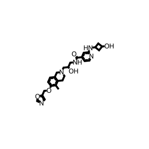 Cc1c(OCc2cnco2)ccc2c1CCN(CC(O)CNC(=O)c1ccnc(NC3CC(O)C3)c1)C2